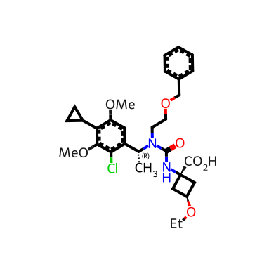 CCO[C@H]1C[C@@](NC(=O)N(CCOCc2ccccc2)[C@H](C)c2cc(OC)c(C3CC3)c(OC)c2Cl)(C(=O)O)C1